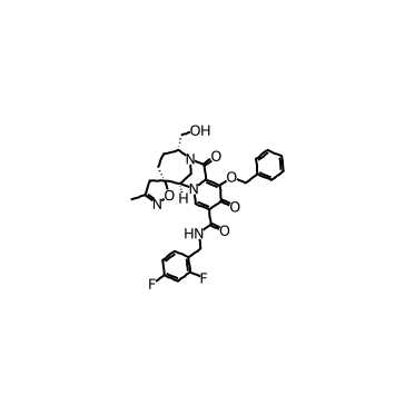 CC1=NO[C@@]2(CC[C@H](CO)N3C[C@H]2n2cc(C(=O)NCc4ccc(F)cc4F)c(=O)c(OCc4ccccc4)c2C3=O)C1